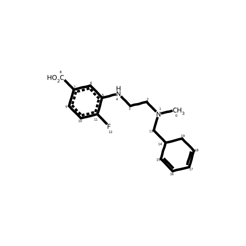 CN(CCNc1cc(C(=O)O)ccc1F)CC1C=CC=CC1